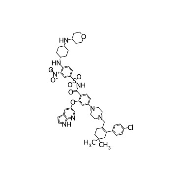 CC1(C)CCC(CN2CCN(c3ccc(C(=O)NS(=O)(=O)c4ccc(N[C@H]5CC[C@H](NC6CCOCC6)CC5)c([N+](=O)[O-])c4)c(Oc4cnc5[nH]ccc5c4)c3)CC2)=C(c2ccc(Cl)cc2)C1